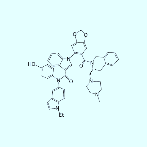 CCn1ccc2cc(N(C(=O)c3cn(-c4cc5c(cc4C(=O)N4Cc6ccccc6C[C@H]4CN4CCN(C)CC4)OCO5)c4ccccc34)c3ccc(O)cc3)ccc21